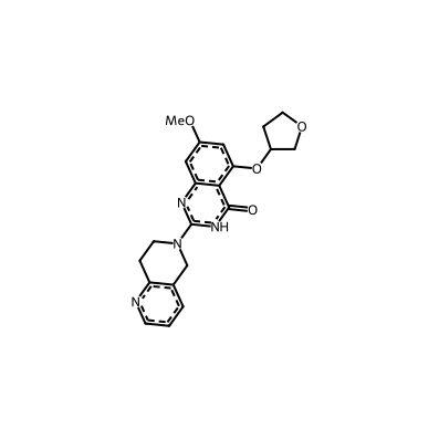 COc1cc(OC2CCOC2)c2c(=O)[nH]c(N3CCc4ncccc4C3)nc2c1